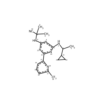 CC(Nc1nc(NC(C)(C)C#N)nc(-c2cccc(C(F)(F)F)n2)n1)C1CC1